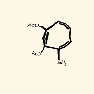 CC(=O)Oc1cccc([SiH3])c1OC(C)=O